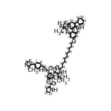 Cc1ncsc1-c1ccc(CNC(=O)[C@@H]2C[C@@H](OC(=O)[C@@H]3CCCN3)CN2C(=O)[C@@H](NC(=O)CCCCCCCCCCOc2cc(F)c([C@@H]3c4[nH]c5ccccc5c4C[C@@H](C)N3CC(C)(C)F)c(F)c2)C(C)(C)C)cc1